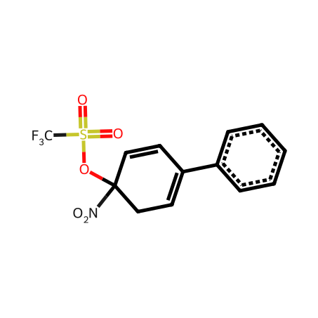 O=[N+]([O-])C1(OS(=O)(=O)C(F)(F)F)C=CC(c2ccccc2)=CC1